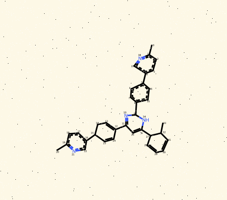 Cc1ccc(-c2ccc(C3N=C(C4=CCC(c5ccc(C)nc5)C=C4)C=C(C4C=CC=CC4C)N3)cc2)cn1